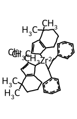 CC1=CC2=C(CCCC2(C)C)[CH]1[Zr+2]1([CH]2C(C)=CC3=C2CCCC3(C)C)[CH](c2ccccc2)[CH]1c1ccccc1.[Cl-].[Cl-]